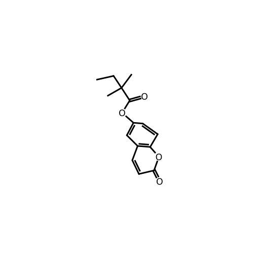 CCC(C)(C)C(=O)Oc1ccc2oc(=O)ccc2c1